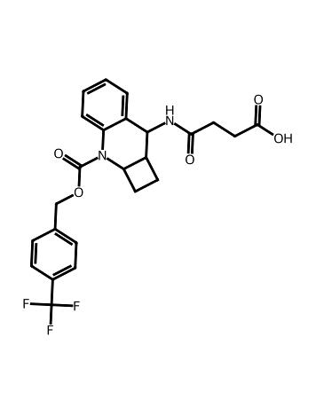 O=C(O)CCC(=O)NC1c2ccccc2N(C(=O)OCc2ccc(C(F)(F)F)cc2)C2CCC12